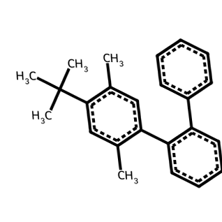 Cc1cc(C(C)(C)C)c(C)cc1-c1ccccc1-c1ccccc1